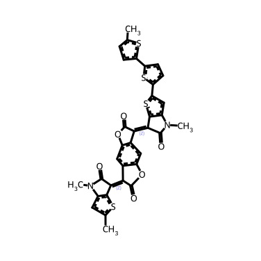 Cc1ccc(-c2ccc(-c3cc4c(s3)/C(=C3\C(=O)Oc5cc6c(cc53)OC(=O)/C6=C3/C(=O)N(C)c5cc(C)sc53)C(=O)N4C)s2)s1